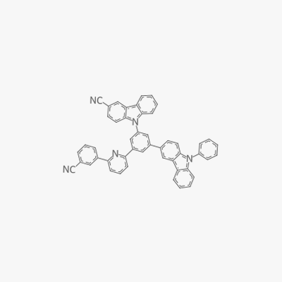 N#Cc1cccc(-c2cccc(-c3cc(-c4ccc5c(c4)c4ccccc4n5-c4ccccc4)cc(-n4c5ccccc5c5cc(C#N)ccc54)c3)n2)c1